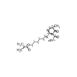 C=C(C)C(=O)OCCCCCCSc1ncc(C)c(=O)n1C(=O)CCC